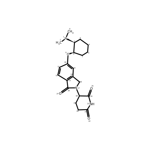 CN(C)[C@H]1CCCC[C@H]1Oc1ccc2c(c1)CN(C1CCC(=O)NC1=O)C2=O